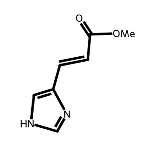 COC(=O)C=Cc1c[nH]cn1